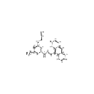 C#CCSc1nc(N/N=C/c2c3ccccc3cc3ccccc23)cc(C(F)(F)F)n1